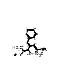 CCCCCCC(C(=O)O)=C(CC)C(=Cc1ccccc1)C=C(CCCC)C(=O)O